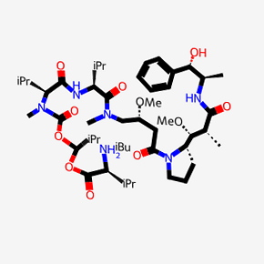 CC[C@H](C)C([C@@H](CC(=O)N1CCC[C@H]1[C@H](OC)[C@@H](C)C(=O)N[C@H](C)[C@@H](O)c1ccccc1)OC)N(C)C(=O)[C@@H](NC(=O)[C@H](C(C)C)N(C)C(=O)OC(OC(=O)[C@@H](N)C(C)C)C(C)C)C(C)C